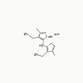 Br.Br.CC1=CC[C]([Hf][C]2=C(CC(C)C)C(C)=CC2)=C1CC(C)C